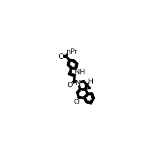 CCCC(=O)c1ccc2[nH]c(C(=O)N3C[C@H]4C[C@@]45C3=CC(=O)c3ccccc35)cc2c1